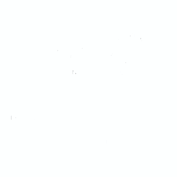 COC(=O)C1OC(=O)N(c2ccc(OC)cc2)C1c1ccc(OC)cc1OCc1ccccc1